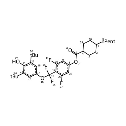 CCCCCC1CCC(C(=O)Oc2cc(F)c(C(F)(F)Oc3cc(C(C)(C)C)c(O)c(C(C)(C)C)c3)c(F)c2)CC1